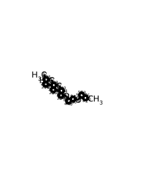 Cc1ccc2c(Oc3ccc4c(Oc5cccc6c(-c7cccc8c(-c9cccc%10cc(C)ccc9%10)c(C)ccc78)c(C)ccc56)cccc4c3)cccc2c1